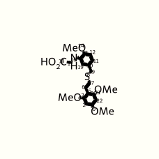 COc1cc(OC)c(C=CSCc2ccc(OC)c(NCC(=O)O)c2)c(OC)c1